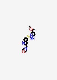 C=C(OCC)c1ccc2nnc(Sc3ccc4ncc(CN5CCOCC5)cc4c3)n2c1